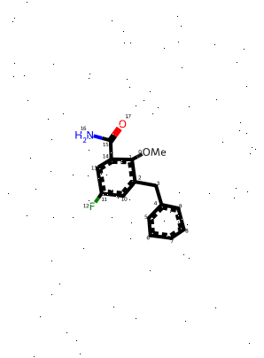 COc1c(Cc2ccccc2)cc(F)cc1C(N)=O